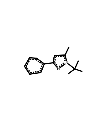 [CH2]c1cc(-c2ccccc2)nn1C(C)(C)C